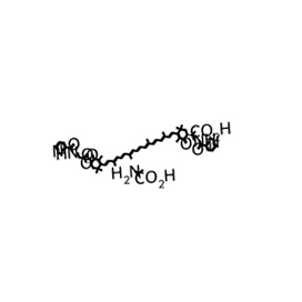 CC1=C(/C=C/C(C)=C/C=C/C(C)=C/C=C/C=C(C)/C=C/C=C(C)/C=C/C2=C(C)C(=O)[C@H](C(CNC(=O)c3cccnc3)C(=O)O)CC2(C)C)C(C)(C)C[C@H](OC(=O)CCNC(=O)c2cccnc2)C1=O.C[C@H](N)C(=O)O